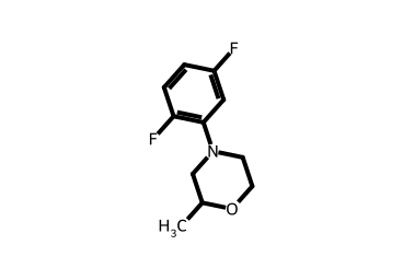 CC1CN(c2cc(F)ccc2F)CCO1